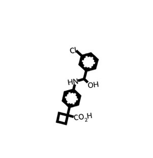 O=C(O)C1(c2ccc(NC(O)c3cccc(Cl)c3)cc2)CCC1